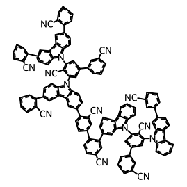 N#Cc1cccc(-c2cc(-n3c4ccc(-c5ccccc5C#N)cc4c4cc(-c5ccccc5C#N)ccc43)c(C#N)c(-n3c4ccc(-c5ccccc5C#N)cc4c4cc(-c5ccc(-c6ccc(C#N)cc6-c6ccc7c8ccccc8n(-c8cc(-c9cccc(C#N)c9)cc(-n9c%10ccccc%10c%10ccc(-c%11cccc(C#N)c%11)cc%109)c8C#N)c7c6)cc5C#N)ccc43)c2)c1